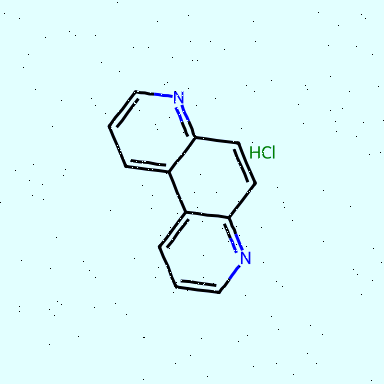 Cl.c1cnc2ccc3ncccc3c2c1